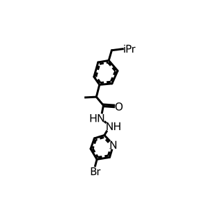 CC(C)Cc1ccc(C(C)C(=O)NNc2ccc(Br)cn2)cc1